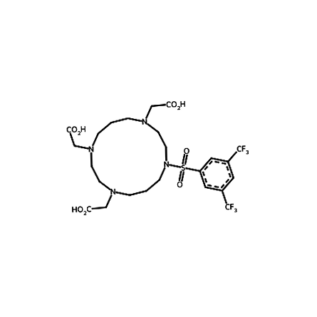 O=C(O)CN1CCCN(CC(=O)O)CCN(S(=O)(=O)c2cc(C(F)(F)F)cc(C(F)(F)F)c2)CCCN(CC(=O)O)CC1